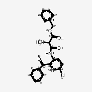 NC(C(=O)Nc1ccc(Cl)nc1C(=O)c1ccccc1)C(=O)OCc1ccccc1